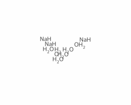 O.O.O.O.O.O.[NaH].[NaH].[NaH]